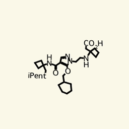 CCCC(C)CC1(NC(=O)c2cnn(CCNC3(CC(=O)O)CCC3)c2OCC2CCCCC2)CCC1